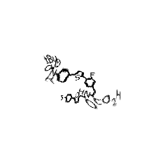 CC(C)(C)OC(=O)Nc1ccc(-c2ccc(-c3ccc(CC(NC(=O)c4ccc(-c5ccc(F)cc5)o4)C(=O)O)cc3F)s2)cc1